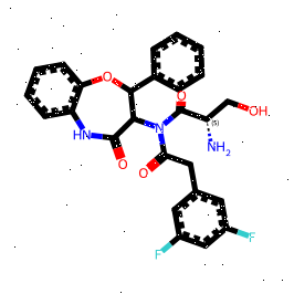 N[C@@H](CO)C(=O)N(C(=O)Cc1cc(F)cc(F)c1)C1C(=O)Nc2ccccc2OC1c1ccccc1